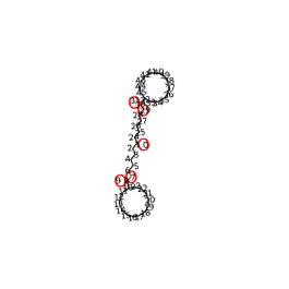 O=C(CCCCCOC(=O)C1CCCCCCCCCCCCC1)CCCCCOC(=O)C1CCCCCCCCCCCCC1